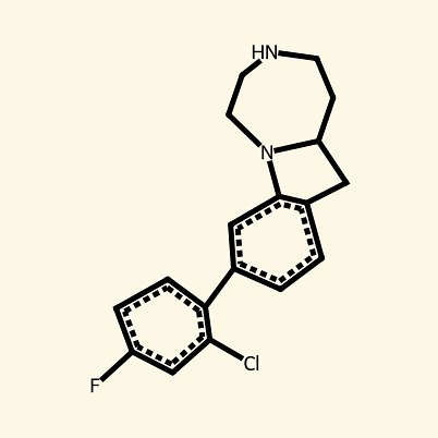 Fc1ccc(-c2ccc3c(c2)N2CCNCCC2C3)c(Cl)c1